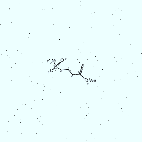 C=C(CCCS(N)(=O)=O)OC